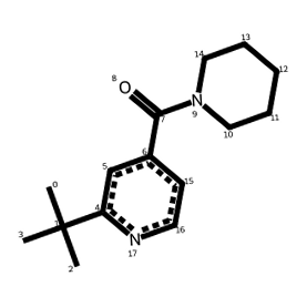 CC(C)(C)c1cc(C(=O)N2CCCCC2)ccn1